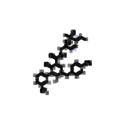 C=C(/C=C\C(=C/C)S(C)(=O)=O)CNC(=O)c1cn(Cc2ccc(C#N)cc2)c(C)c(-c2cccc(C(F)(F)F)c2)c1=O